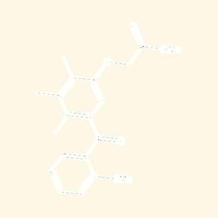 COC(=O)COc1cc(C(=O)c2ccccc2SC)c(C)c(C)c1C